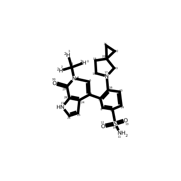 [2H]C([2H])([2H])n1cc(-c2cc(S(N)(=O)=O)ccc2N2CCC3(CC3)C2)c2cc[nH]c2c1=O